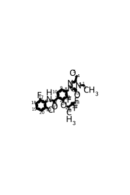 CCn1c(C=O)nn(-c2ccc(C(=O)Nc3c(F)cccc3Cl)c(O[C@@H](C)C(F)(F)F)c2)c1=O